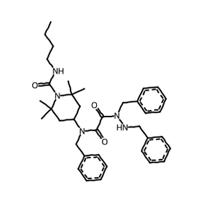 CCCCNC(=O)N1C(C)(C)CC(N(Cc2ccccc2)C(=O)C(=O)N(Cc2ccccc2)NCc2ccccc2)CC1(C)C